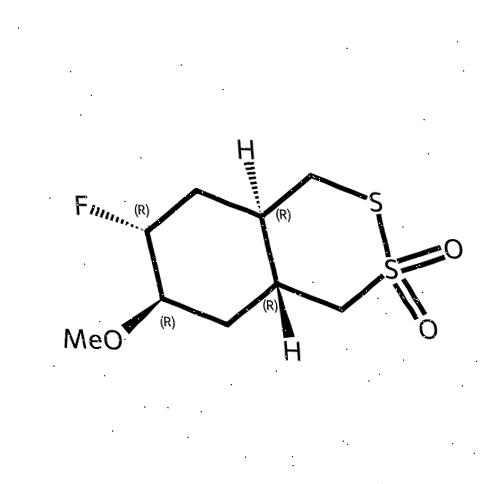 CO[C@@H]1C[C@H]2CS(=O)(=O)SC[C@@H]2C[C@H]1F